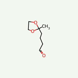 CC1(CCCC=O)OCCO1